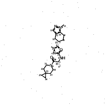 C[C@@H](Nc1nnc([C@H]2CCc3c(cnn3C)C2)o1)C(=O)N1CCC2(CC1)CC2